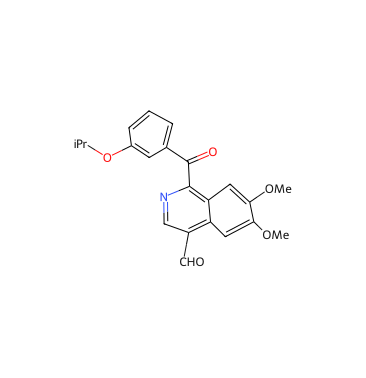 COc1cc2c(C=O)cnc(C(=O)c3cccc(OC(C)C)c3)c2cc1OC